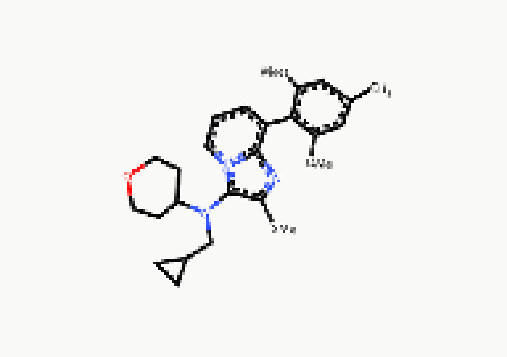 COc1cc(C)cc(OC)c1-c1cccn2c(N(CC3CC3)C3CCOCC3)c(SC)nc12